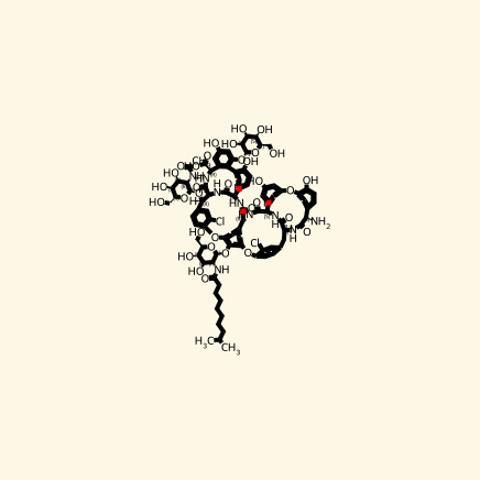 CC(=O)N[C@H]1[C@H](O[C@@H]2c3ccc(c(Cl)c3)Oc3cc4cc(c3O[C@@H]3O[C@H](CO)[C@@H](O)[C@H](O)[C@H]3NC(=O)CCCCCCCC(C)C)Oc3ccc(cc3Cl)C[C@H]3NC(=O)[C@@H](N)c5ccc(O)c(c5)Oc5cc(O)cc(c5)[C@H](NC3=O)C(=O)N[C@H]4C(=O)N[C@H]3C(=O)N[C@@H]2C(=O)N[C@@H](C(=O)O)c2cc(O)cc(O[C@H]4O[C@H](CO)[C@@H](O)[C@H](O)[C@@H]4O)c2-c2cc3ccc2O)O[C@H](CO)[C@@H](O)[C@@H]1O